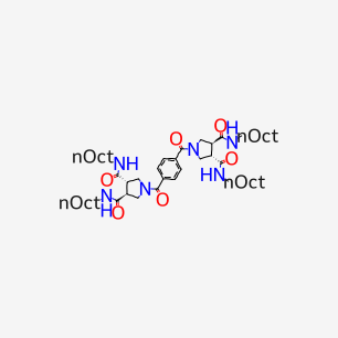 CCCCCCCCNC(=O)[C@@H]1CN(C(=O)c2ccc(C(=O)N3C[C@@H](C(=O)NCCCCCCCC)[C@H](C(=O)NCCCCCCCC)C3)cc2)C[C@H]1C(=O)NCCCCCCCC